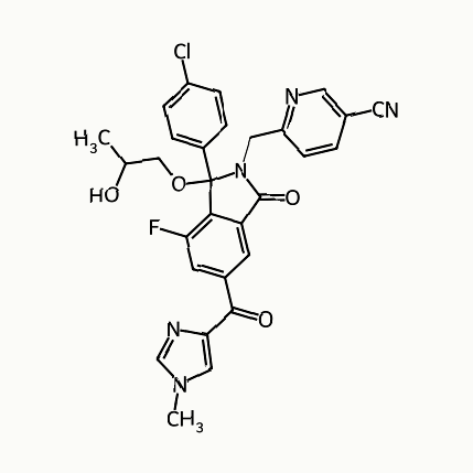 CC(O)COC1(c2ccc(Cl)cc2)c2c(F)cc(C(=O)c3cn(C)cn3)cc2C(=O)N1Cc1ccc(C#N)cn1